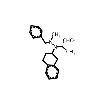 C[C@@H]([C]=O)N(C1CCc2ccccc2C1)N(C)Cc1ccccc1